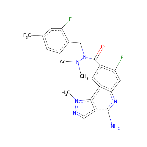 CC(=O)N(C)N(Cc1ccc(C(F)(F)F)cc1F)C(=O)c1cc2c(cc1F)nc(N)c1cnn(C)c12